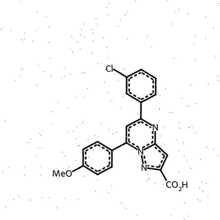 COc1ccc(-c2cc(-c3cccc(Cl)c3)nc3cc(C(=O)O)nn23)cc1